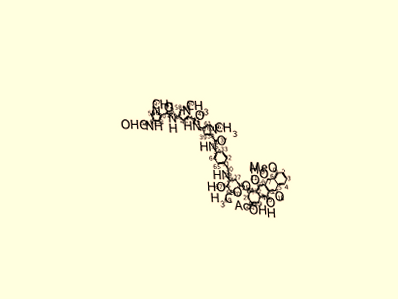 COc1cccc2c1C(=O)c1c(O)c3c(c(O)c1C2=O)C[C@](O)(C(C)=O)C[C@@H]3OC1CC(NCc2ccc(NC(=O)c3cc(NC(=O)c4cc(NC(=O)c5cc(NC=O)cn5C)cn4C)cn3C)cc2)C(O)C(C)O1